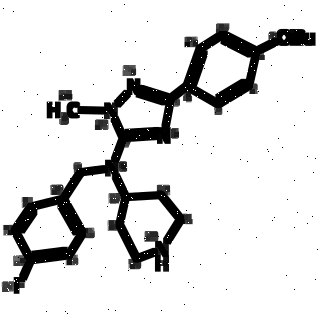 CC(C)COc1ccc(-c2nc(N(Cc3ccc(F)cc3)C3CCNCC3)n(C)n2)cc1